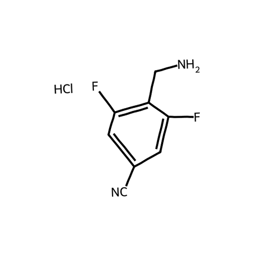 Cl.N#Cc1cc(F)c(CN)c(F)c1